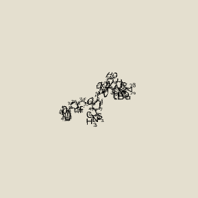 Cc1ncsc1-c1ccc(CNC(=O)[C@@H]2C[C@@H](O)CN2C(=O)[C@@H](NC(=O)C2(F)CC2)C(C)(C)C)c(OCCc2ccc(C3OCCO3)cc2F)c1